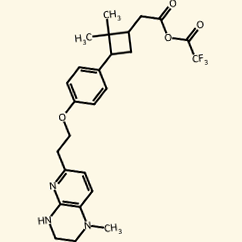 CN1CCNc2nc(CCOc3ccc(C4CC(CC(=O)OC(=O)C(F)(F)F)C4(C)C)cc3)ccc21